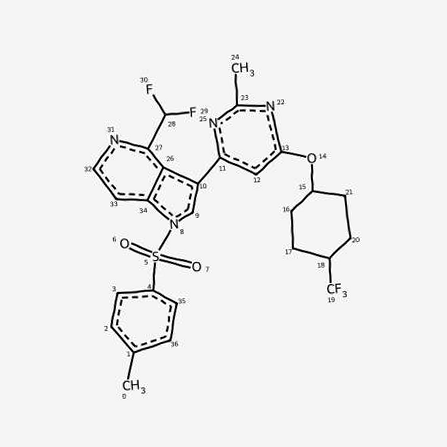 Cc1ccc(S(=O)(=O)n2cc(-c3cc(OC4CCC(C(F)(F)F)CC4)nc(C)n3)c3c(C(F)F)nccc32)cc1